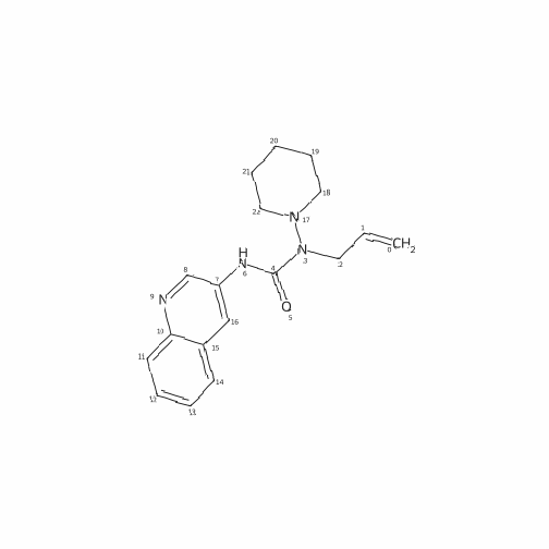 C=CCN(C(=O)Nc1cnc2ccccc2c1)N1CCCCC1